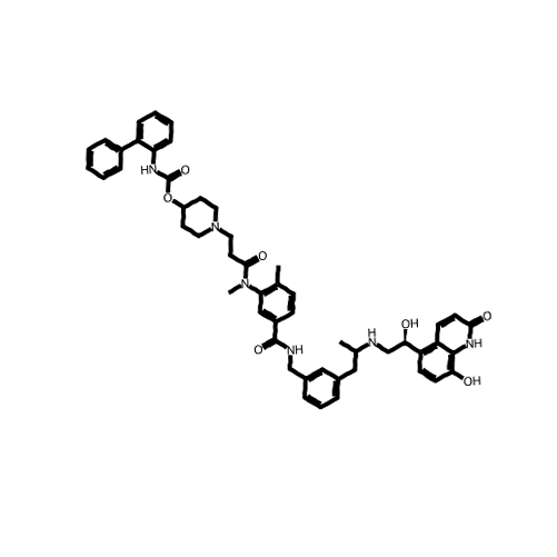 Cc1ccc(C(=O)NCc2cccc(CC(C)NC[C@@H](O)c3ccc(O)c4[nH]c(=O)ccc34)c2)cc1N(C)C(=O)CCN1CCC(OC(=O)Nc2ccccc2-c2ccccc2)CC1